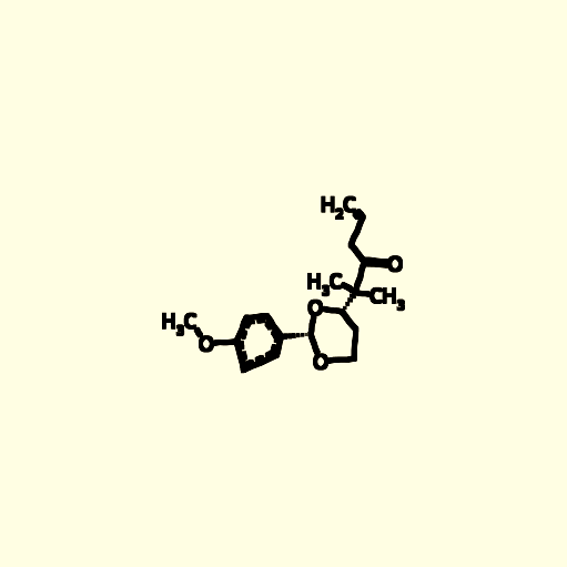 C=CCC(=O)C(C)(C)[C@@H]1CCO[C@H](c2ccc(OC)cc2)O1